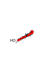 O=C(O)CCOCCOCCOCCOCCOCCOCCNC(=O)OCC1OC2CC/C=C/CCC2O1